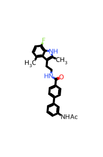 CC(=O)Nc1cccc(-c2ccc(C(=O)NCCc3c(C)[nH]c4c(F)ccc(C)c34)cc2)c1